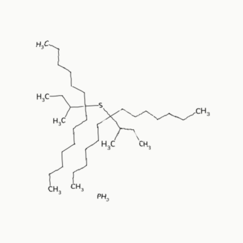 CCCCCCCC(CCCCCC)(SC(CCCCCC)(CCCCCCC)C(C)CC)C(C)CC.P